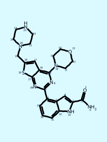 NC(=O)c1cc2c(-c3nc(N4CCOCC4)c4cc(CN5CCNCC5)sc4n3)cccc2[nH]1